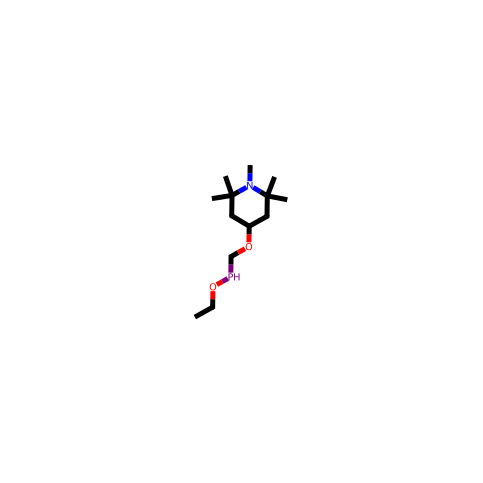 CCOPCOC1CC(C)(C)N(C)C(C)(C)C1